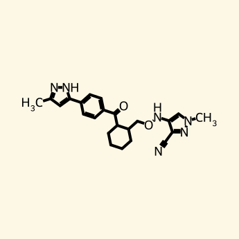 Cc1cc(-c2ccc(C(=O)C3CCCCC3CONc3cn(C)nc3C#N)cc2)[nH]n1